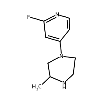 CC1CN(c2ccnc(F)c2)CCN1